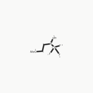 CCCN(CCOC)S(F)(F)F